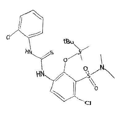 CN(C)S(=O)(=O)c1c(Cl)ccc(NC(=S)Nc2ccccc2Cl)c1O[Si](C)(C)C(C)(C)C